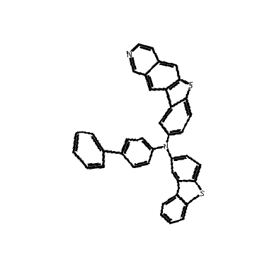 c1ccc(-c2ccc(N(c3ccc4sc5ccccc5c4c3)c3ccc4sc5cc6ccncc6cc5c4c3)cc2)cc1